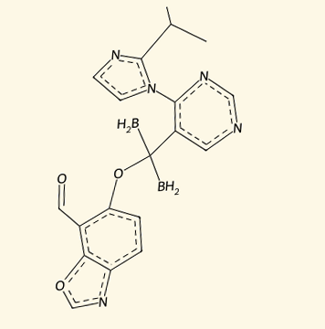 BC(B)(Oc1ccc2ncoc2c1C=O)c1cncnc1-n1ccnc1C(C)C